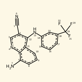 N#Cc1cnc2c(N)cccc2c1Nc1cccc(C(F)(F)F)c1